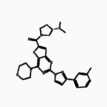 Cc1cccc(-c2ccn(-c3nc(N4CCOCC4)c4sc(C(=O)N5CC[C@H](N(C)C)C5)cc4n3)n2)c1